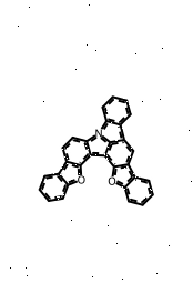 c1ccc2c(c1)oc1c2ccc2c1c1c3oc4ccccc4c3cc3c4ccccc4n2c31